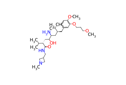 COCCCOc1cc(C[C@@H](C[C@H](N)[C@@H](O)C[C@H](C(=O)NCC2CN(C)C2)C(C)C)C(C)C)ccc1OC